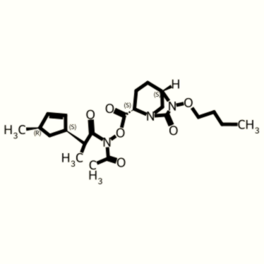 CCCCON1C(=O)N2C[C@@H]1CC[C@H]2C(=O)ON(C(C)=O)C(=O)C(C)[C@@H]1C=C[C@H](C)C1